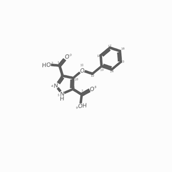 O=C(O)c1n[nH]c(C(=O)O)c1OCc1ccccc1